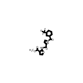 COC(=O)c1ccsc1NC(=O)c1ccn(C(=O)c2cccc(C(F)(F)F)c2)n1